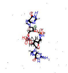 CO[C@H]1[C@H]2OP(=O)(O)OC[C@H]3O[C@@H](n4cnc5c(=O)[nH]cnc54)[C@H](F)[C@@H]3OS(=O)(=O)NC[C@H]1O[C@H]2n1cnc2c(=O)[nH]c(N)nc21